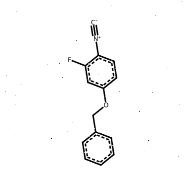 [C-]#[N+]c1ccc(OCc2ccccc2)cc1F